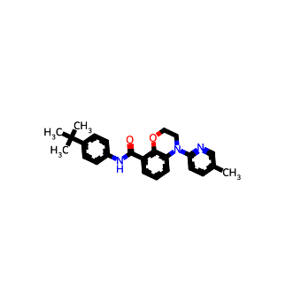 Cc1ccc(N2CCOc3c(C(=O)Nc4ccc(C(C)(C)C)cc4)cccc32)nc1